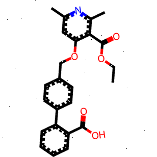 CCOC(=O)c1c(OCc2ccc(-c3ccccc3C(=O)O)cc2)cc(C)nc1C